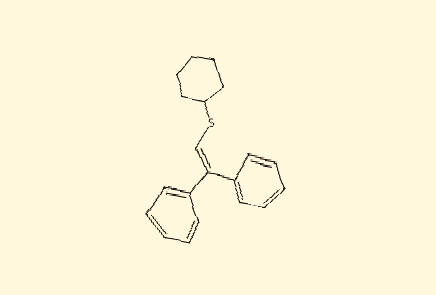 C(SC1CCCCC1)=C(c1ccccc1)c1ccccc1